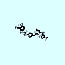 Cc1cc(Nc2cc(N(C)C)n[nH]2)nc(Cc2ccc(NC(=O)Nc3ccc(Cl)c(C(F)(F)F)c3)nc2)n1